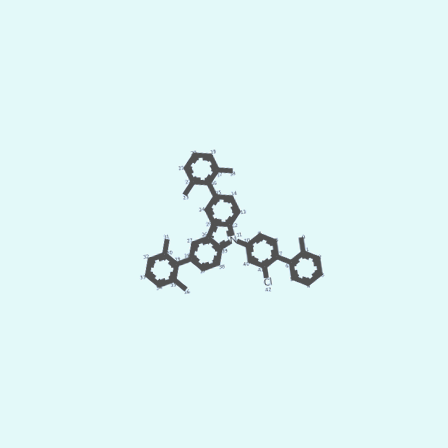 Cc1ccccc1-c1ccc(-n2c3ccc(-c4c(C)cccc4C)cc3c3cc(-c4c(C)cccc4C)ccc32)cc1Cl